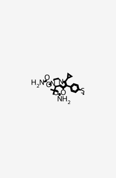 CSc1ccc(-c2c(OC(N)=O)c3n(c2C2CC2)CCN(OC(N)=O)C3C(C)(C)C)cc1